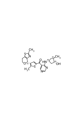 Cc1nc2c(s1)CCO[C@H]2c1cc(C(=O)c2cncnc2N[C@@H]2C[C@@H](C)[C@H](O)C2)sc1C